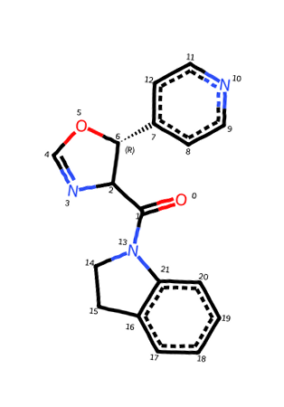 O=C(C1N=CO[C@@H]1c1ccncc1)N1CCc2ccccc21